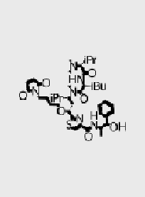 CC[C@H](C)[C@H](NC(=O)[C@@H](C(C)C)N(C)C)C(=O)N(C)[C@H](C[C@@H](OCCCCN1C(=O)C=CC1=O)c1nc(C(=O)N[C@H](C)C(O)c2ccccc2)cs1)C(C)C